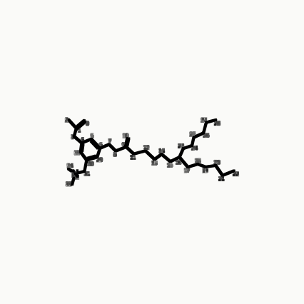 C=C(C)Cc1cc(CCC(=C)CCCCCC(CCCCCC)CCCCCC)cc(CN(C)C)c1